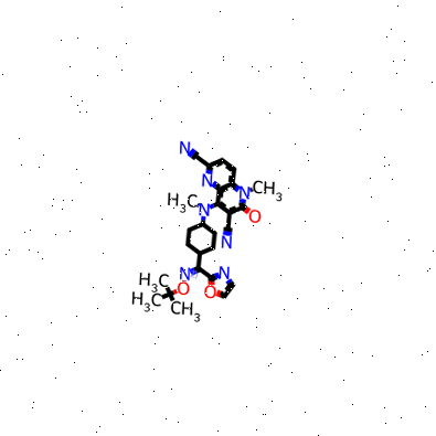 CN(c1c(C#N)c(=O)n(C)c2ccc(C#N)nc12)C1CCC(/C(=N/OC(C)(C)C)c2ncco2)CC1